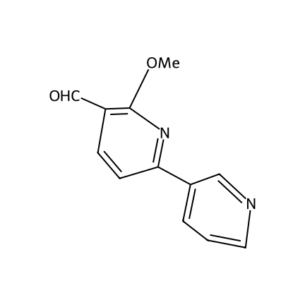 COc1nc(-c2cccnc2)ccc1C=O